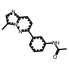 CC(=O)Nc1cccc(-c2ccc3ncc(C)n3n2)c1